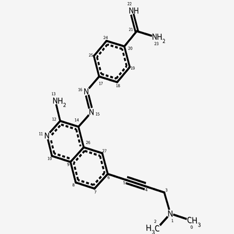 CN(C)CC#Cc1ccc2cnc(N)c(/N=N/c3ccc(C(=N)N)cc3)c2c1